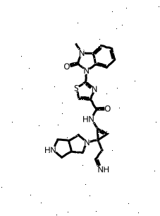 Cn1c(=O)n(-c2nc(C(=O)NC3=CC3(CC=N)N3CC4CNCC4C3)cs2)c2ccccc21